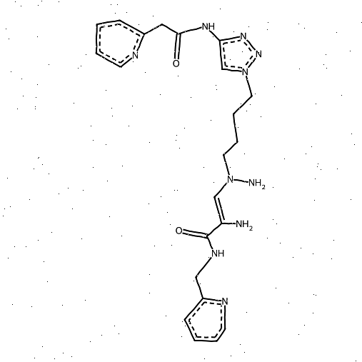 N/C(=C\N(N)CCCCn1cc(NC(=O)Cc2ccccn2)nn1)C(=O)NCc1ccccn1